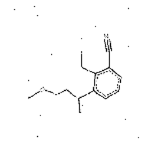 CCc1c(C#N)cccc1[C](C)CCOC